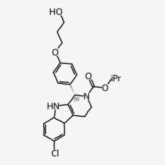 CC(C)OC(=O)N1CCC2=C(NC3C=CC(Cl)=CC23)[C@@H]1c1ccc(OCCCO)cc1